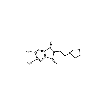 Nc1cc2c(cc1[N+](=O)[O-])C(=O)N(CCN1CCCC1)C2=O